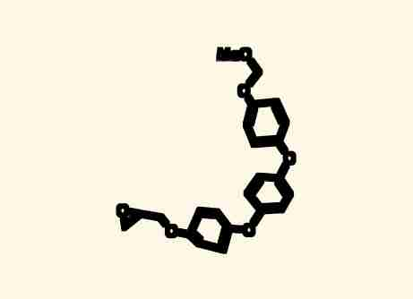 COCOc1ccc(Oc2ccc(Oc3ccc(OCC4CO4)cc3)cc2)cc1